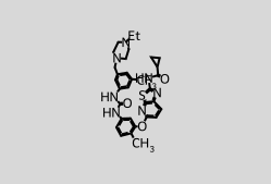 CCN1CCN(Cc2cc(NC(=O)Nc3ccc(C)c(Oc4ccc5nc(NC(=O)C6CC6)sc5n4)c3)cc(C(F)(F)F)c2)CC1